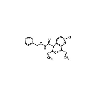 COC(=O)c1cc(Cl)ccc1C(C(=O)NOCc1ccccc1)C(=O)OC